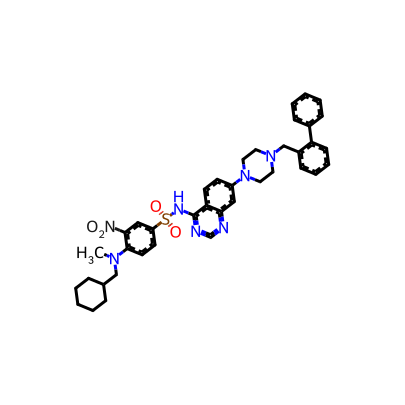 CN(CC1CCCCC1)c1ccc(S(=O)(=O)Nc2ncnc3cc(N4CCN(Cc5ccccc5-c5ccccc5)CC4)ccc23)cc1[N+](=O)[O-]